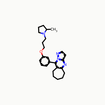 CC1CCCN1CCCOc1cccc(-c2c3c(nc4ccnn24)CCCCC3)c1